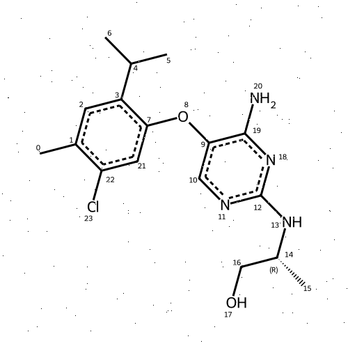 Cc1cc(C(C)C)c(Oc2cnc(N[C@H](C)CO)nc2N)cc1Cl